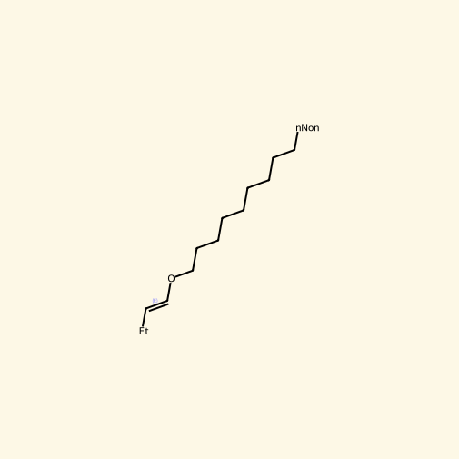 CC/C=C/OCCCCCCCCCCCCCCCCCC